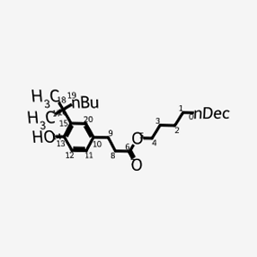 CCCCCCCCCCCCCCOC(=O)CCc1ccc(O)c(C(C)(C)CCCC)c1